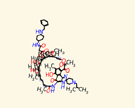 CO[C@H]1/C=C/O[C@@]2(C)Oc3c(C)c(O)c4c(c3C2=O)C2=NC3(CCN(CC(C)C)CC3)NC2=C(NC(=O)/C(C)=C\C=C\[C@H](C)[C@H](O)[C@@H](C)[C@@H](O)[C@@H](C)[C@H](OC(=O)CC(=O)NC2CCC(NCc3ccccc3)CC2)[C@@H]1C)C4=O